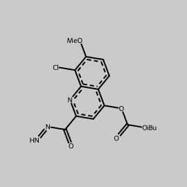 COc1ccc2c(OC(=O)OCC(C)C)cc(C(=O)N=N)nc2c1Cl